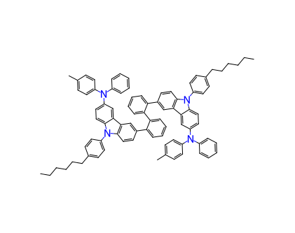 CCCCCCc1ccc(-n2c3ccc(-c4ccccc4-c4ccccc4-c4ccc5c(c4)c4cc(N(c6ccccc6)c6ccc(C)cc6)ccc4n5-c4ccc(CCCCCC)cc4)cc3c3cc(N(c4ccccc4)c4ccc(C)cc4)ccc32)cc1